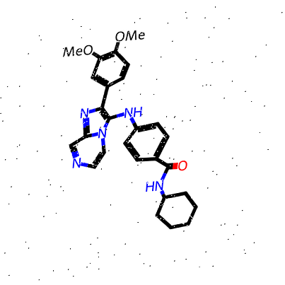 COc1ccc(-c2nc3cnccn3c2Nc2ccc(C(=O)NC3CCCCC3)cc2)cc1OC